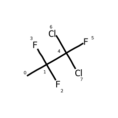 CC(F)(F)C(F)(Cl)Cl